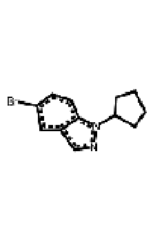 Brc1ccc2c(cnn2C2CCCC2)c1